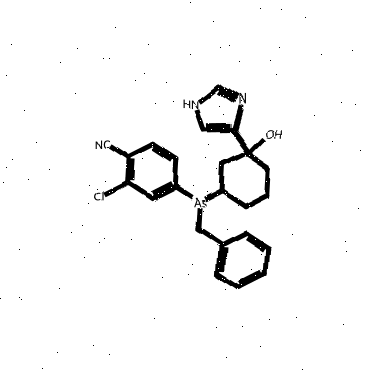 N#Cc1ccc([As](Cc2ccccc2)C2CCCC(O)(c3c[nH]cn3)C2)cc1Cl